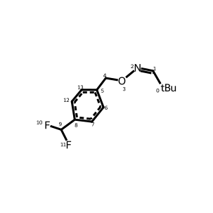 CC(C)(C)/[C]=N\OCc1ccc(C(F)F)cc1